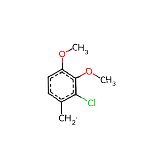 [CH2]c1ccc(OC)c(OC)c1Cl